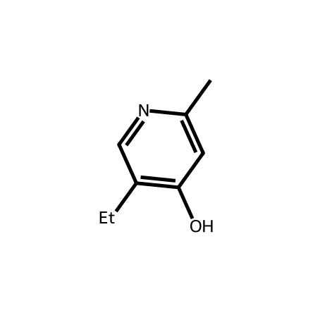 CCc1cnc(C)cc1O